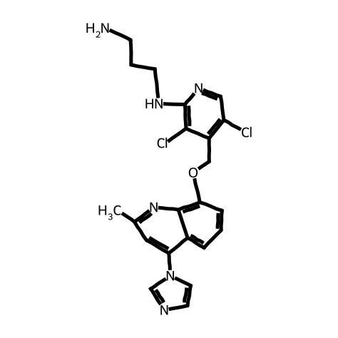 Cc1cc(-n2ccnc2)c2cccc(OCc3c(Cl)cnc(NCCCN)c3Cl)c2n1